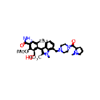 COc1c(C(N)=O)cc(C(C)(C)C)c(-c2c(C(=O)O)n(C)c3c(CN4CCN(C(=O)C5CCCN5C)CC4)cccc23)c1CO